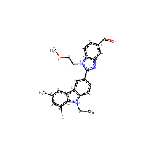 CCn1c2ccc(-c3nc4cc(C=O)ccc4n3CCOC)cc2c2cc(C)cc(F)c21